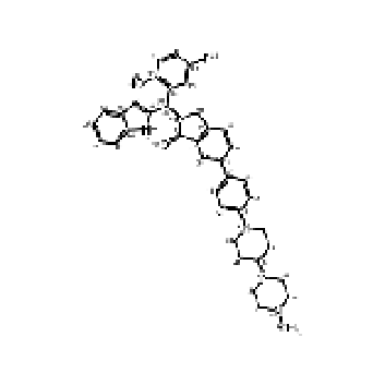 CN1CCN(C2CCN(c3ccc(-c4ccc5c(c4)C(=O)N([C@@H](c4cc6ccccc6[nH]4)c4cc(F)ccc4O)C5)cc3)CC2)CC1